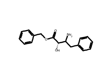 NC(Cc1ccccc1)[C@H](O)C(=O)OCc1ccccc1